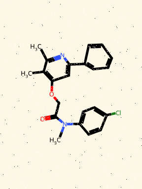 Cc1nc(-c2ccccc2)cc(OCC(=O)N(C)c2ccc(Cl)cc2)c1C